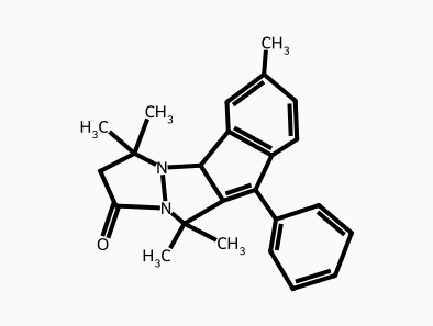 Cc1ccc2c(c1)C1C(=C2c2ccccc2)C(C)(C)N2C(=O)CC(C)(C)N12